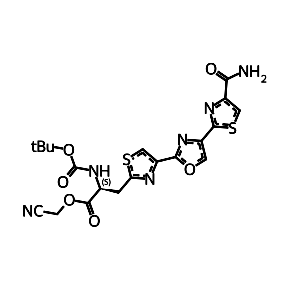 CC(C)(C)OC(=O)N[C@@H](Cc1nc(-c2nc(-c3nc(C(N)=O)cs3)co2)cs1)C(=O)OCC#N